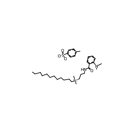 CCCCCCCCCCCC[N+](C)(C)CCCNC(=O)c1ccccc1N(C)C.Cc1ccc(S(=O)(=O)[O-])cc1